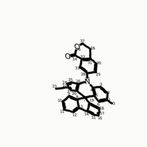 Cc1ccc2c(c1)C1(c3ccccc3-c3ccccc31)c1cc(C)ccc1N2c1ccc2c(c1)C(=O)OCC2